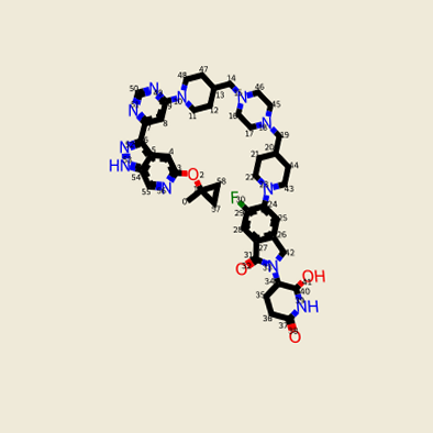 CC1(Oc2cc3c(-c4cc(N5CCC(CN6CCN(CC7CCN(c8cc9c(cc8F)C(=O)N(C8CCC(=O)NC8O)C9)CC7)CC6)CC5)ncn4)n[nH]c3cn2)CC1